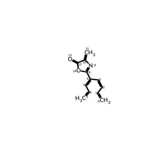 C=C/C=C\C(=C/C=C)C1=NC(=C)C(=O)O1